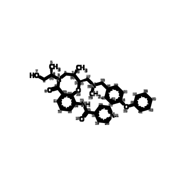 C[C@@H]1CN([C@H](C)CO)C(=O)c2cccc(NC(=O)c3ccncc3)c2O[C@@H]1CN(C)Cc1ccc(Oc2ccccc2)cc1